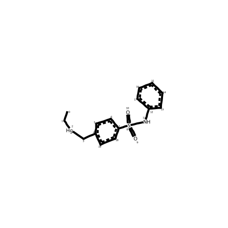 C[CH2][Hg][CH2]c1ccc(S(=O)(=O)Nc2ccccc2)cc1